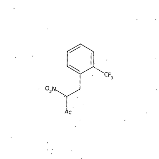 CC(=O)C(Cc1ccccc1C(F)(F)F)[N+](=O)[O-]